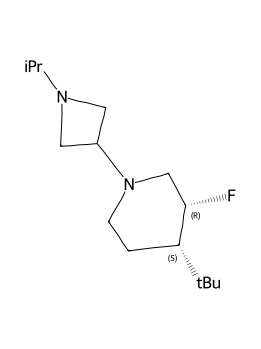 CC(C)N1CC(N2CC[C@@H](C(C)(C)C)[C@@H](F)C2)C1